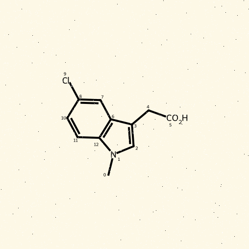 Cn1cc(CC(=O)O)c2cc(Cl)ccc21